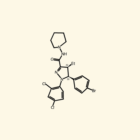 CC[C@@H]1C(C(=O)NN2CCCCC2)=NN(c2ccc(Cl)cc2Cl)[C@@H]1c1ccc(Br)cc1